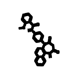 CSc1ccccc1C(=O)Nc1ccc(N2C(=O)CC(=O)Nc3c2ccc2ccccc32)cc1